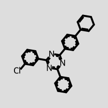 Clc1cccc(-c2nc(-c3ccccc3)nc(-c3ccc(C4=CCCC=C4)cc3)n2)c1